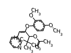 COc1ccc(OC(=Cc2cccnc2)C(OC(C)=O)C(C)(C)C)c(OC)c1